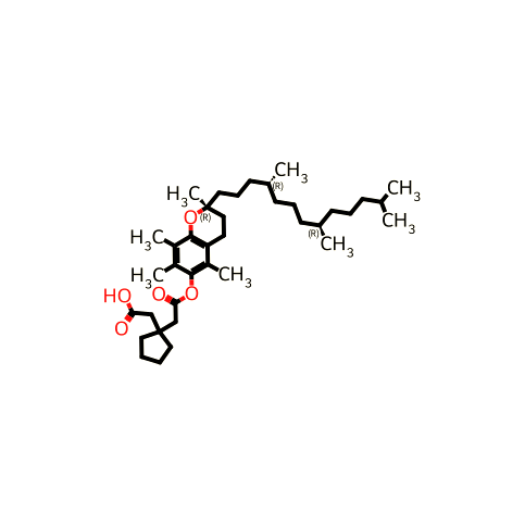 Cc1c(C)c2c(c(C)c1OC(=O)CC1(CC(=O)O)CCCC1)CC[C@@](C)(CCC[C@H](C)CCC[C@H](C)CCCC(C)C)O2